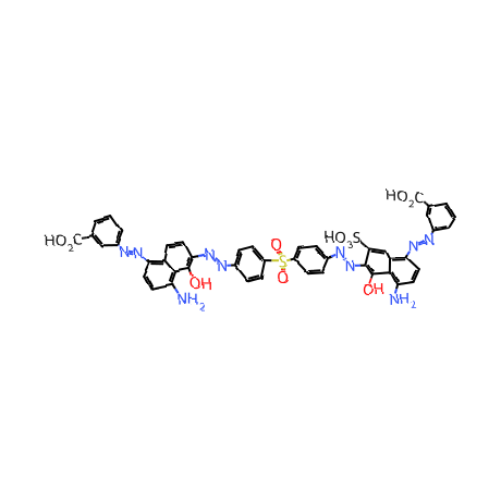 Nc1ccc(N=Nc2cccc(C(=O)O)c2)c2ccc(N=Nc3ccc(S(=O)(=O)c4ccc(N=Nc5c(S(=O)(=O)O)cc6c(N=Nc7cccc(C(=O)O)c7)ccc(N)c6c5O)cc4)cc3)c(O)c12